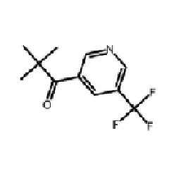 CC(C)(C)C(=O)c1cncc(C(F)(F)F)c1